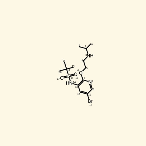 CC(C)NCCOc1ncc(Br)cc1NS(=O)(=O)C(C)(C)C